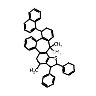 CC1CC2=C(C3=C1C(c1ccccc1)C(C1=CC=CCC1)S3)C(C)(C)C1=C(c3ccccc32)C(c2cccc3ccccc23)CC=C1